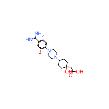 N=C(N)c1ccc(N2CCN([C@H]3CC[C@@](O)(CC(=O)O)CC3)CC2)c(Br)c1